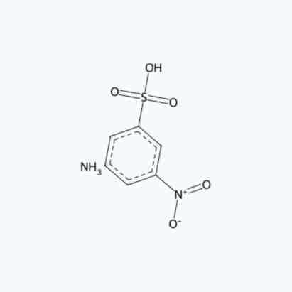 N.O=[N+]([O-])c1cccc(S(=O)(=O)O)c1